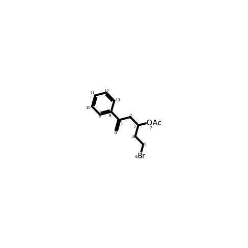 C=C(CC(CCBr)OC(C)=O)c1ccccc1